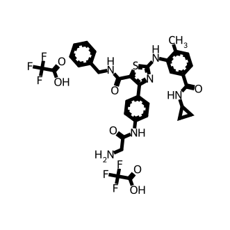 Cc1ccc(C(=O)NC2CC2)cc1Nc1nc(-c2ccc(NC(=O)CN)cc2)c(C(=O)NCc2ccccc2)s1.O=C(O)C(F)(F)F.O=C(O)C(F)(F)F